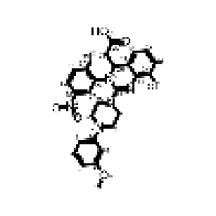 COc1cccc(N2CCN(C3=Nc4c(F)cccc4C(CC(=O)O)N3c3cc([N+](=O)[O-])ccc3F)CC2)c1